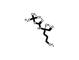 CCCC[C@](C)(C=O)NC(=O)OC(C)(C)C